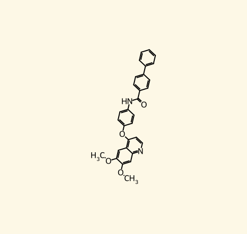 COc1cc2nccc(Oc3ccc(NC(=O)c4ccc(-c5ccccc5)cc4)cc3)c2cc1OC